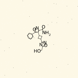 NC(=O)c1noc(-c2ccccc2)c1C1CC(c2noc(CO)n2)C1